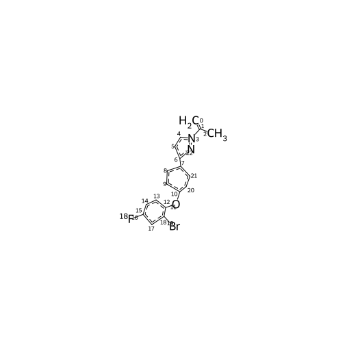 C=C(C)n1ccc(-c2ccc(Oc3ccc([18F])cc3Br)cc2)n1